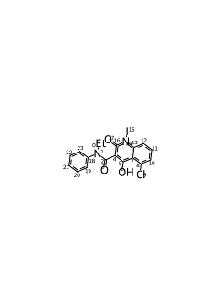 CCN(C(=O)c1c(O)c2c(Cl)cccc2n(I)c1=O)c1ccccc1